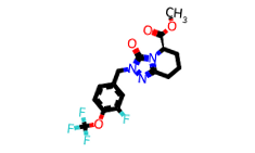 COC(=O)[C@H]1CCCc2nn(Cc3ccc(OC(F)(F)F)c(F)c3)c(=O)n21